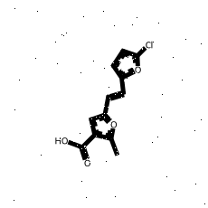 Cc1oc(C=Cc2ccc(Cl)o2)cc1C(=O)O